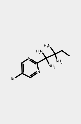 CCC(N)(N)C(N)(N)c1ncc(Br)cn1